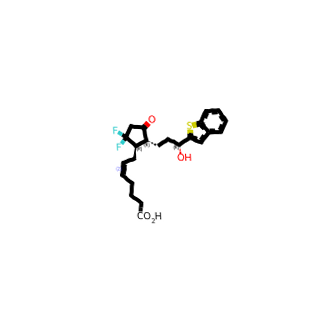 O=C(O)CCC/C=C\C[C@@H]1[C@@H](CC[C@@H](O)c2cc3ccccc3s2)C(=O)CC1(F)F